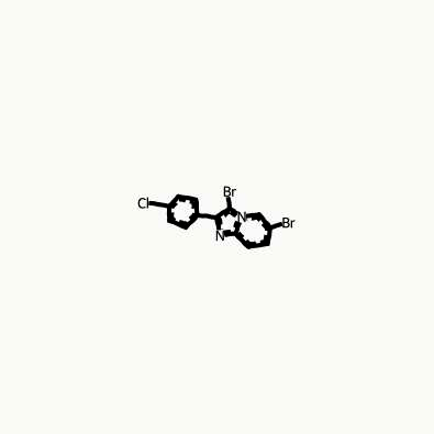 Clc1ccc(-c2nc3ccc(Br)cn3c2Br)cc1